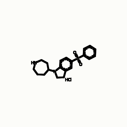 Cl.O=S(=O)(c1ccccc1)c1ccc2c(c1)CCN2C1CCCNCC1